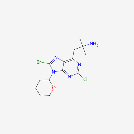 CC(C)(N)Cc1nc(Cl)nc2c1nc(Br)n2C1CCCCO1